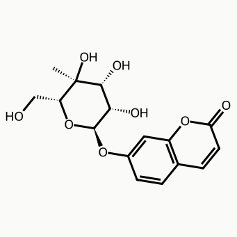 C[C@]1(O)[C@H](O)[C@H](O)[C@@H](Oc2ccc3ccc(=O)oc3c2)O[C@@H]1CO